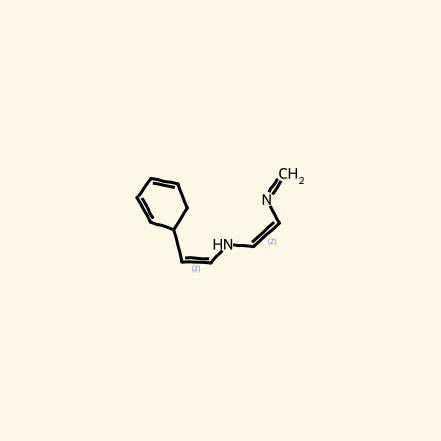 C=N/C=C\N/C=C\C1C=CC=CC1